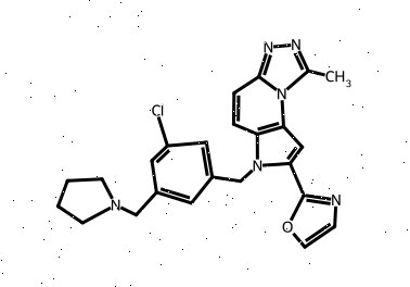 Cc1nnc2ccc3c(cc(-c4ncco4)n3Cc3cc(Cl)cc(CN4CCCC4)c3)n12